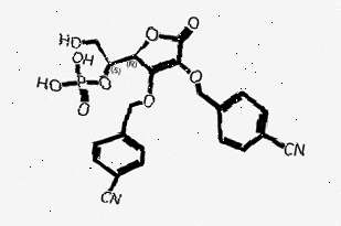 N#Cc1ccc(COC2=C(OCc3ccc(C#N)cc3)[C@@H]([C@H](CO)OP(=O)(O)O)OC2=O)cc1